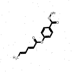 CC=CC=CC(=O)Oc1ccc(C(=O)OCCC)cc1